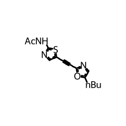 CCCCc1cnc(C#Cc2cnc(NC(C)=O)s2)o1